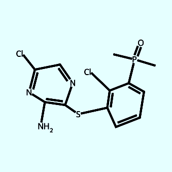 CP(C)(=O)c1cccc(Sc2ncc(Cl)nc2N)c1Cl